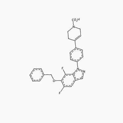 O=C(O)N1CC=C(c2ccc(-n3ncc4cc(F)c(OCc5ccccc5)c(F)c43)cc2)CC1